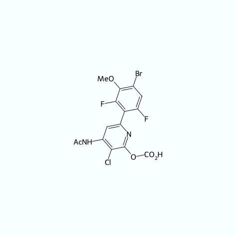 COc1c(Br)cc(F)c(-c2cc(NC(C)=O)c(Cl)c(OC(=O)O)n2)c1F